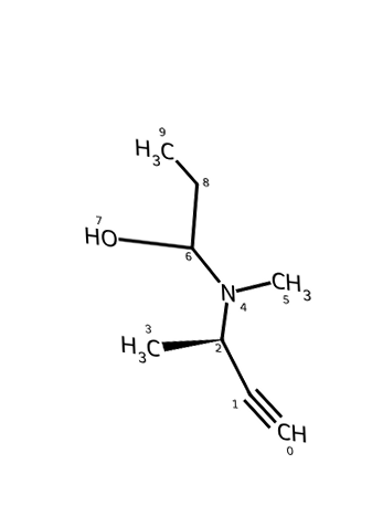 C#C[C@@H](C)N(C)C(O)CC